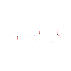 CC(C)(C)OC(=O)CCCNC(=O)CCC(N)C(=O)OC(C)(C)C